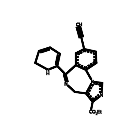 C#Cc1ccc2c(c1)C(C1=CC=CCN1)=NCc1c(C(=O)OCC)ncn1-2